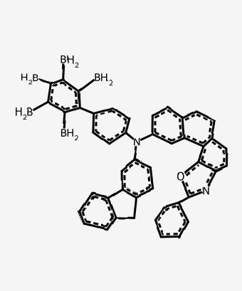 Bc1c(B)c(B)c(-c2ccc(N(c3ccc4c(c3)-c3ccccc3C4)c3ccc4ccc5ccc6nc(-c7ccccc7)oc6c5c4c3)cc2)c(B)c1B